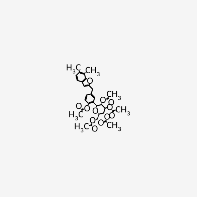 CC(=O)OC[C@H]1O[C@@H](c2cc(Cc3cc4ccc(C)c(C)c4o3)ccc2OC(C)=O)[C@H](OC(C)=O)C(OC(C)=O)[C@@H]1OC(C)=O